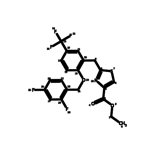 CCOC(=O)c1csc(Cc2cc(C(F)(F)F)ccc2OCc2ccc(F)cc2F)n1